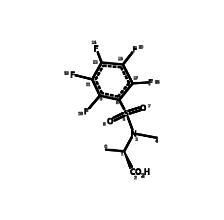 C[C@H](C(=O)O)N(C)S(=O)(=O)c1c(F)c(F)c(F)c(F)c1F